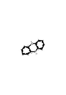 c1ccc2c(c1)Oc1ccccc1[P]2